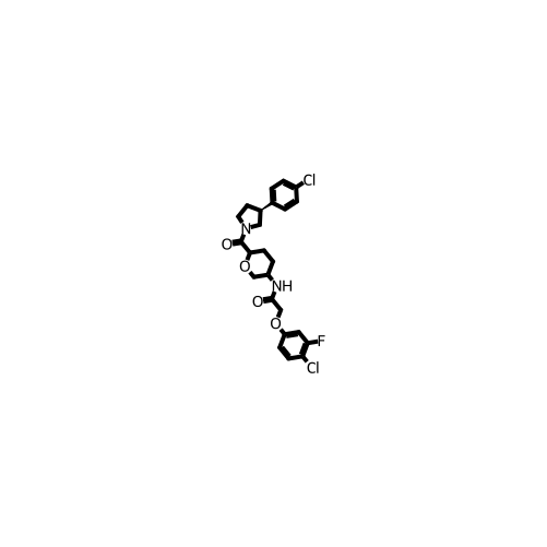 O=C(COc1ccc(Cl)c(F)c1)NC1CCC(C(=O)N2CC[C@@H](c3ccc(Cl)cc3)C2)OC1